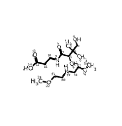 CC(C)(CO)[C@@H](O)C(=O)NCCC(=O)O.COCCNCCOC